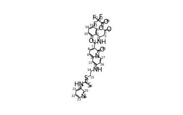 O=C(CC(NC(=O)c1ccc2cc(NCCSC(=S)Nc3cccnc3)ccn2c1=O)c1ccccc1)OC(=O)C(F)(F)F